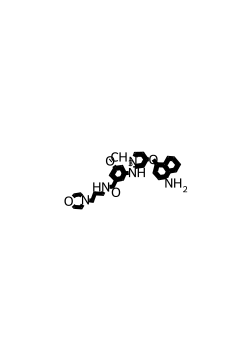 COc1cc(Nc2cc(Oc3ccc(N)c4ccccc34)ccn2)cc(C(=O)NCCCN2CCOCC2)c1